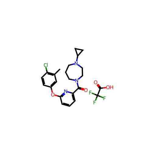 Cc1cc(Oc2cccc(C(=O)N3CCCN(C4CC4)CC3)n2)ccc1Cl.O=C(O)C(F)(F)F